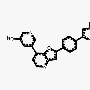 N#Cc1cncc(-c2ccnc3cc(-c4ccc(-c5c[nH]cn5)cc4)oc23)c1